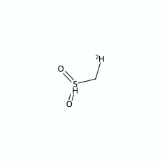 [2H]C[SH](=O)=O